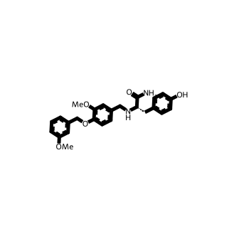 COc1cccc(COc2ccc(CN[C@@H](Cc3ccc(O)cc3)C(N)=O)cc2OC)c1